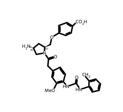 COc1cc(CC(=O)N2C[C@H](N)C[C@H]2COc2ccc(C(=O)O)cc2)ccc1NC(=O)Nc1ccccc1C